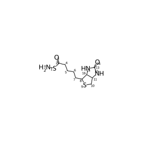 NSC(=O)CCCCC1SCC2NC(=O)NC21